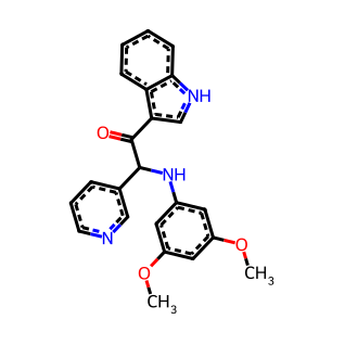 COc1cc(NC(C(=O)c2c[nH]c3ccccc23)c2cccnc2)cc(OC)c1